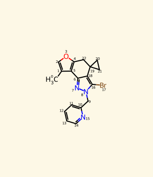 Cc1coc2c1-c1nn(Cc3ccccn3)c(Br)c1C1(CC1)C2